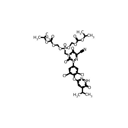 CC(C)OC(=O)OCOP(=O)(Cn1c(=O)c(C#N)nn(-c2cc(Cl)c(Oc3cc(C(C)C)c(=O)[nH]n3)c(Cl)c2)c1=O)OCOC(=O)OC(C)C